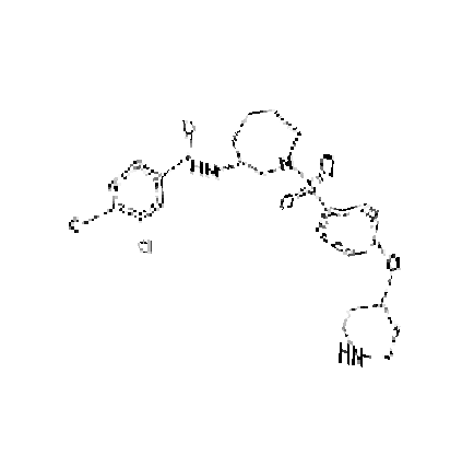 O=C(NC1CCCCN(S(=O)(=O)c2ccc(OC3CCNCC3)cc2)C1)c1ccc(Cl)c(Cl)c1